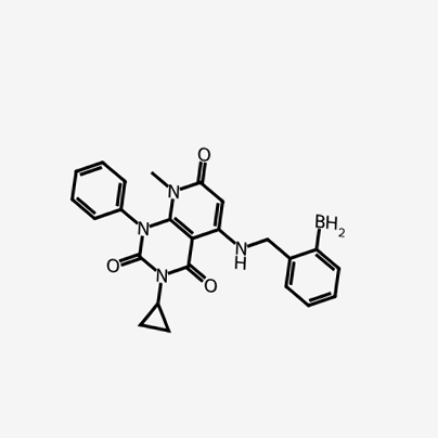 Bc1ccccc1CNc1cc(=O)n(C)c2c1c(=O)n(C1CC1)c(=O)n2-c1ccccc1